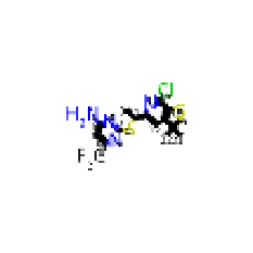 CC(Sc1nc(N)cc(C(F)(F)F)n1)c1cc2c(c(Cl)n1)SCC2(C)C